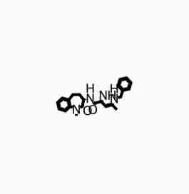 C/C(=C/C(=N)C(=O)N[C@H]1CCc2ccccc2N(C)C1=O)NCc1ccccc1